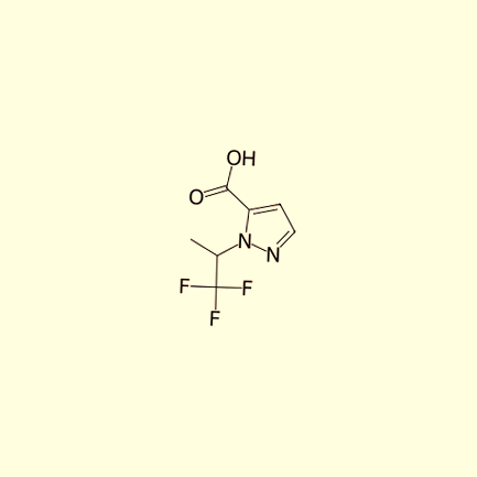 CC(n1nccc1C(=O)O)C(F)(F)F